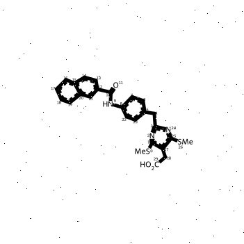 CSc1nc(Cc2ccc(NC(=O)c3ccc4ccccc4c3)cc2)nc(SC)c1CC(=O)O